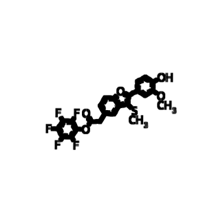 COc1cc(-c2oc3ccc(CC(=O)Oc4c(F)c(F)c(F)c(F)c4F)cc3c2SC)ccc1O